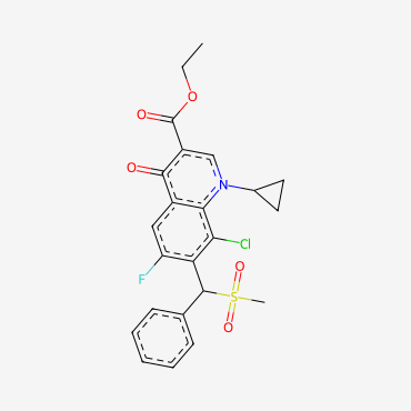 CCOC(=O)c1cn(C2CC2)c2c(Cl)c(C(c3ccccc3)S(C)(=O)=O)c(F)cc2c1=O